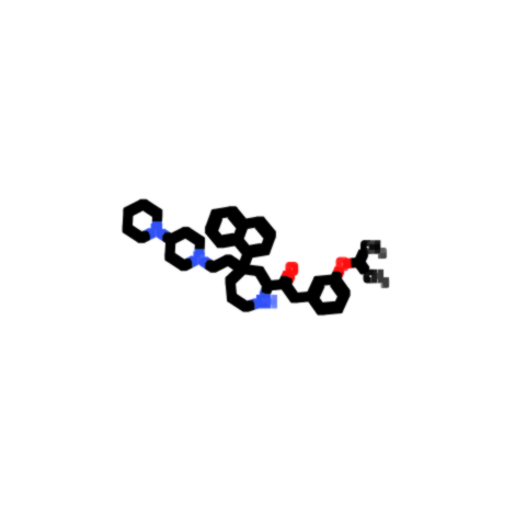 CC(C)Oc1cccc(CC(=O)C2CC(CCN3CCC(N4CCCCC4)CC3)(c3cccc4ccccc34)CCCN2)c1